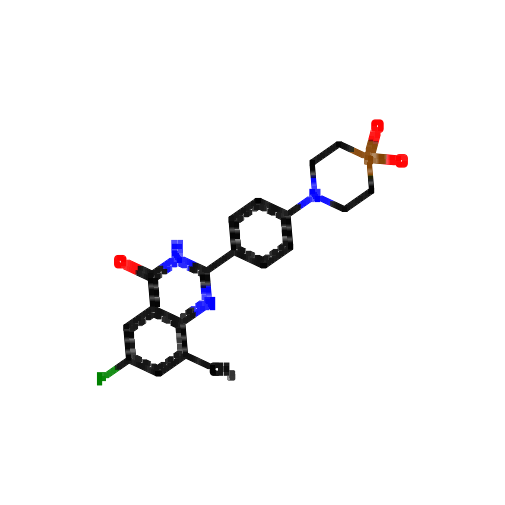 Cc1cc(F)cc2c(=O)[nH]c(-c3ccc(N4CCS(=O)(=O)CC4)cc3)nc12